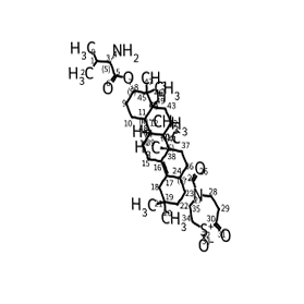 CC(C)[C@H](N)C(=O)O[C@H]1CC[C@]2(C)[C@H]3CCC4=C5CC(C)(C)CC[C@]5(C(=O)N5CCC(=O)[S+]([O-])CC5)CC[C@@]4(C)[C@]3(C)CC[C@H]2C1(C)C